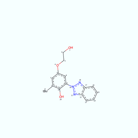 CC(C)(C)c1cc(OCCO)cc(-n2nc3ccccc3n2)c1O